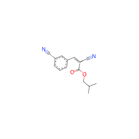 CC(C)COC(=O)C(C#N)=Cc1cccc(C#N)c1